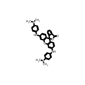 CN(C)c1ccc(Nc2ccc3c(c2)Oc2cc(Nc4ccc(N(C)C)cc4)ccc2C32OC(=O)c3ccccc32)cc1